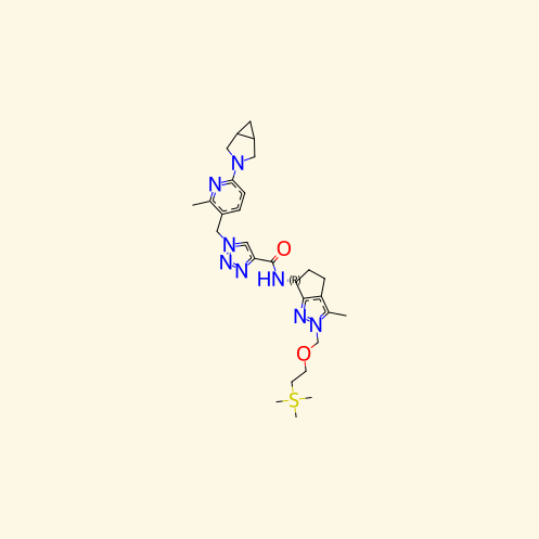 Cc1nc(N2CC3CC3C2)ccc1Cn1cc(C(=O)N[C@@H]2CCc3c2nn(COCCS(C)(C)C)c3C)nn1